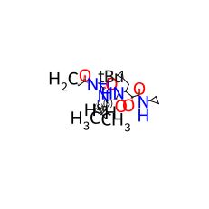 C=CC(=O)NC(C(=O)N1C[C@H]2[C@@H]([C@H]1C(=O)NC(CC1CC1)C(=O)C(=O)NC1CC1)C2(C)C)C(C)(C)C